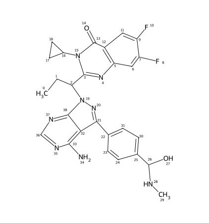 CCC(c1nc2cc(F)c(F)cc2c(=O)n1C1CC1)n1nc(-c2ccc(C(O)NC)cc2)c2c(N)ncnc21